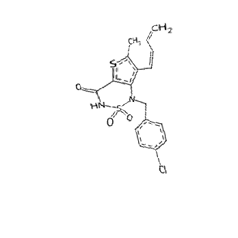 C=C/C=C\c1c(C)sc2c1N(Cc1ccc(Cl)cc1)S(=O)(=O)NC2=O